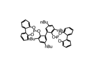 CCCCc1cc(CCCC)c(Op2oc3ccccc3c3ccccc3o2)c(-c2cc(CCCC)cc(CCCC)c2Op2oc3ccccc3c3ccccc3o2)c1